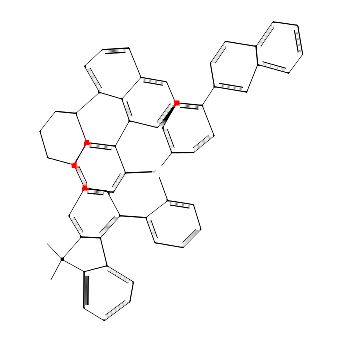 CC1(C)c2ccccc2-c2c(-c3ccccc3N(c3ccc(-c4ccc5ccccc5c4)cc3)c3ccccc3-c3cccc4cccc(C5CCCCC5)c34)cccc21